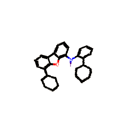 IN(c1ccccc1C1CCCCC1)c1cccc2c1oc1c(C3CCCCC3)cccc12